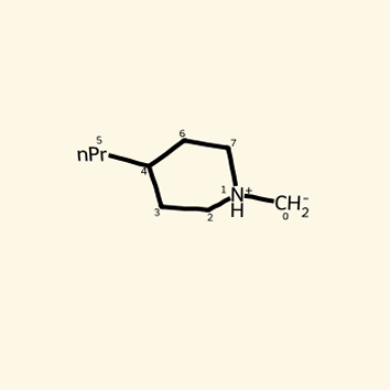 [CH2-][NH+]1CCC(CCC)CC1